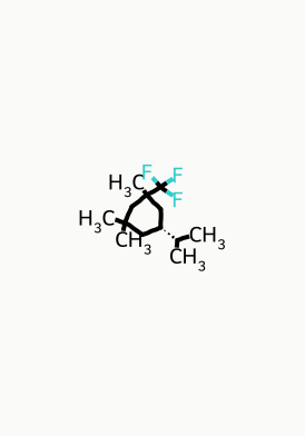 CC(C)[C@@H]1CC(C)(C)CC(C)(C(F)(F)F)C1